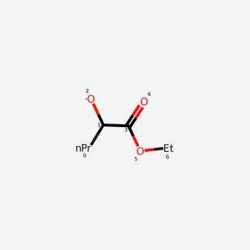 CCCC([O])C(=O)OCC